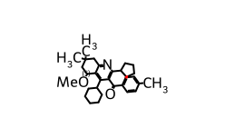 CO[C@H]1CC(C)(C)Cc2nc(C3CCCC3)c(C(=O)c3ccc(C)cc3)c(C3CCCCC3)c21